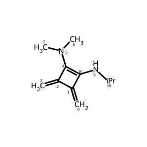 C=C1C(=C)C(N(C)C)=C1NC(C)C